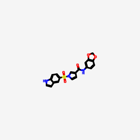 O=C(Nc1ccc2c(c1)OCO2)c1ccn(S(=O)(=O)c2ccc3[nH]ccc3c2)c1